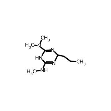 CCCC1N=C(NC)NC(N(C)C)=N1